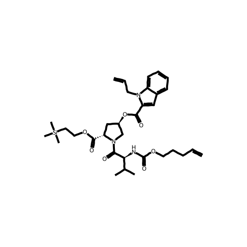 C=CCCCOC(=O)N[C@H](C(=O)N1C[C@H](OC(=O)c2cc3ccccc3n2CC=C)C[C@H]1C(=O)OCC[Si](C)(C)C)C(C)C